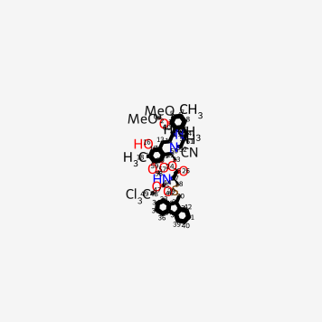 COCOc1c(OC)c(C)cc2c1[C@@H]1C3Cc4c(O)c(C)c5c(c4[C@H](COC(=O)[C@@H](CSCC4c6ccccc6-c6ccccc64)NC(=O)OCC(Cl)(Cl)Cl)N3[C@@H](C#N)[C@H](C2)N1C)OCO5